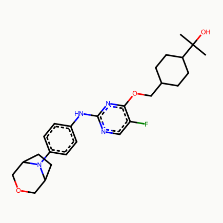 CC(C)(O)C1CCC(COc2nc(Nc3ccc(N4C5CCC4COC5)cc3)ncc2F)CC1